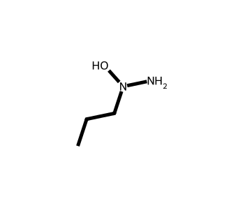 CCCN(N)O